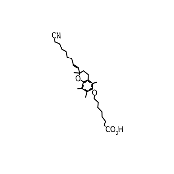 Cc1c(C)c2c(c(C)c1OCCCCCCCC(=O)O)CCC(C)(/C=C/CCCCCCC#N)O2